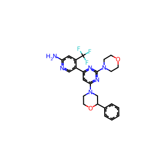 Nc1cc(C(F)(F)F)c(-c2cc(N3CCOC(c4ccccc4)C3)nc(N3CCOCC3)n2)cn1